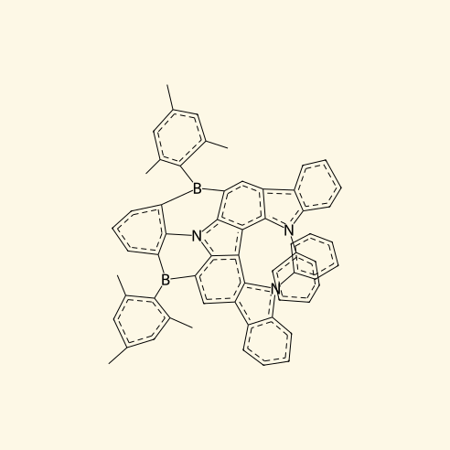 Cc1cc(C)c(B2c3cccc4c3-n3c5c2cc2c6ccccc6n(-c6ccccc6)c2c5c2c3c(cc3c5ccccc5n(-c5ccccc5)c32)B4c2c(C)cc(C)cc2C)c(C)c1